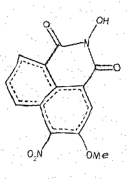 COc1cc2c3c(cccc3c1[N+](=O)[O-])C(=O)N(O)C2=O